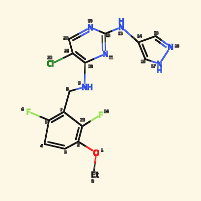 CCOc1ccc(F)c(CNc2nc(Nc3cn[nH]c3)ncc2Cl)c1F